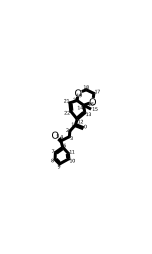 C=C(CCC(=O)c1ccccc1)C1=CC2(C)OCCOC2C=C1